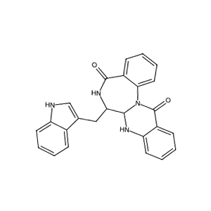 O=C1NC(Cc2c[nH]c3ccccc23)C2Nc3ccccc3C(=O)N2c2ccccc21